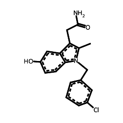 Cc1c(CC(N)=O)c2cc(O)ccc2n1Cc1cccc(Cl)c1